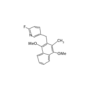 COc1c(C)c(Cc2ccc(F)nc2)c(OC)c2ccccc12